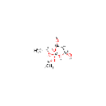 CCOC1(OCC)OC(=O)CC(=O)O1